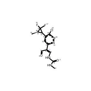 CNC(=O)N/C=C(\C=O)c1cc(C2[C@@H](C)C2(F)F)c(Cl)nn1